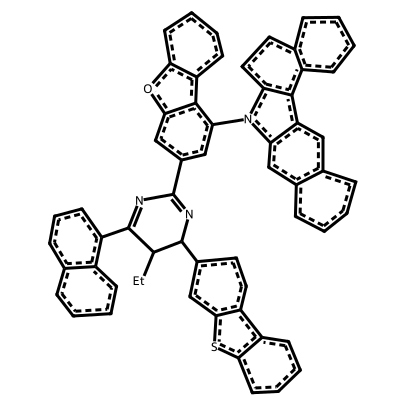 CCC1C(c2cccc3ccccc23)=NC(c2cc(-n3c4cc5ccccc5cc4c4c5ccccc5ccc43)c3c(c2)oc2ccccc23)=NC1c1ccc2c(c1)sc1ccccc12